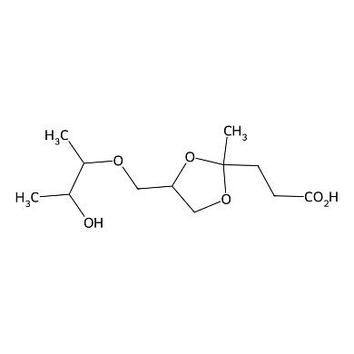 CC(O)C(C)OCC1COC(C)(CCC(=O)O)O1